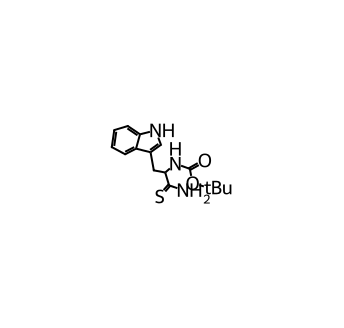 CC(C)(C)OC(=O)NC(Cc1c[nH]c2ccccc12)C(N)=S